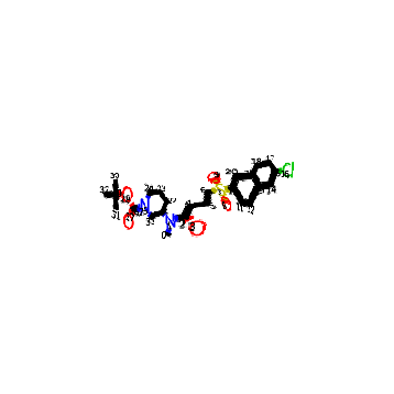 CN(C(=O)CCCS(=O)(=O)c1ccc2cc(Cl)ccc2c1)C1CCCN(C(=O)OC(C)(C)C)C1